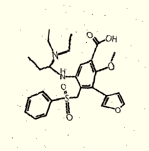 CCC(Nc1cc(C(=O)O)c(OC)c(-c2ccoc2)c1CS(=O)(=O)c1ccccc1)N(CC)CC